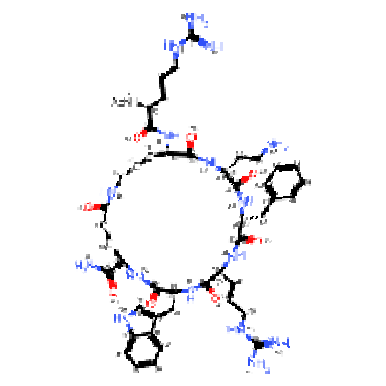 CC(=O)N[C@@H](CCCNC(=N)N)C(=O)N[C@H]1CCCNC(=O)CCC(C(N)=O)NC(=O)[C@H](Cc2c[nH]c3ccccc23)NC(=O)[C@H](CCCNC(=N)N)NC(=O)[C@@H](Cc2ccccc2)NC(=O)[C@H](CCN)NC1=O